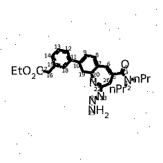 CCCN(CCC)C(=O)C1=CC2=CC=C(c3cccc(CC(=O)OCC)c3)CC2N=C(N=NN)C1